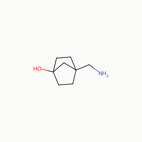 NCC12CCC(O)(CC1)C2